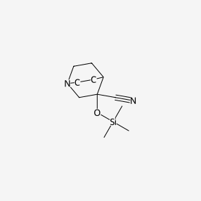 C[Si](C)(C)OC1(C#N)CN2CCC1CC2